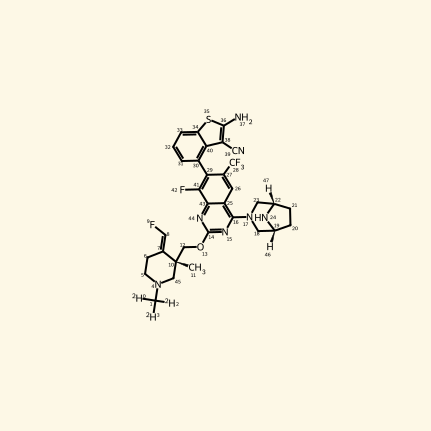 [2H]C([2H])([2H])N1CC/C(=C\F)[C@](C)(COc2nc(N3C[C@H]4CC[C@@H](C3)N4)c3cc(C(F)(F)F)c(-c4cccc5sc(N)c(C#N)c45)c(F)c3n2)C1